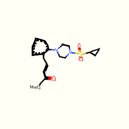 COC(=O)/C=C/c1ccccc1N1CCN(S(=O)(=O)C2CC2)CC1